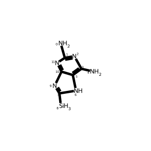 Nc1nc(N)c2[nH]c([SiH3])nc2n1